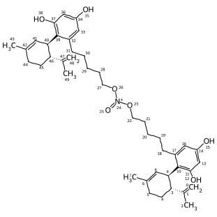 C=C(C)[C@@H]1CCC(C)=C[C@H]1c1c(O)cc(O)cc1CCCCCO[N+](=O)OCCCCCc1cc(O)cc(O)c1[C@@H]1C=C(C)CC[C@H]1C(=C)C